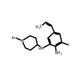 C/C=C\c1cc(F)c(N)c(NC2CCN(C(C)=O)CC2)c1